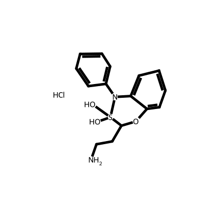 Cl.NCCC1Oc2ccccc2N(c2ccccc2)S1(O)O